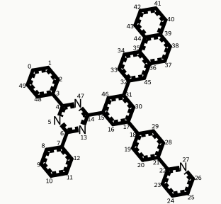 c1ccc(-c2nc(-c3ccccc3)nc(-c3cc(-c4ccc(-c5ccccn5)cc4)cc(-c4ccc5c(ccc6ccccc65)c4)c3)n2)cc1